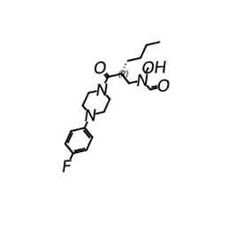 CCCC[C@H](CN(O)C=O)C(=O)N1CCN(c2ccc(F)cc2)CC1